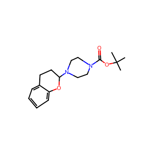 CC(C)(C)OC(=O)N1CCN(C2CCc3ccccc3O2)CC1